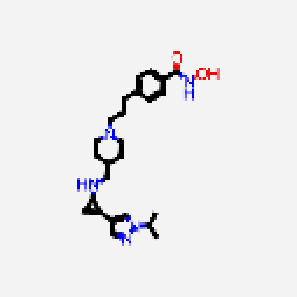 CC(C)n1cc(C2CC2NCC2CCN(CCCc3ccc(C(=O)NO)cc3)CC2)cn1